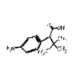 CC(C)(C)C(C(=O)O)c1ccc(N)cc1